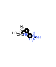 CC(CC(=O)O)c1cccc(-c2cccc(NC(=N)N)c2)c1NC=O